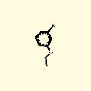 CCOc1ccc[c]([K])c1